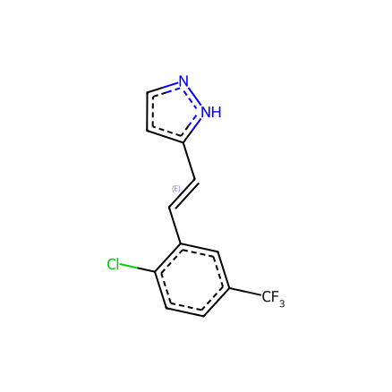 FC(F)(F)c1ccc(Cl)c(/C=C/c2ccn[nH]2)c1